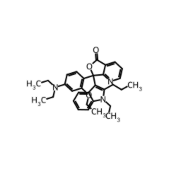 CCCc1c(C2(c3ccc(N(CC)CC)cc3OCC)OC(=O)c3cccnc32)c2ccccc2n1CC